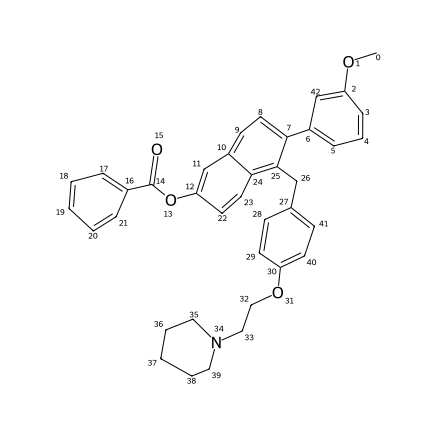 COc1cccc(-c2ccc3cc(OC(=O)c4ccccc4)ccc3c2Cc2ccc(OCCN3CCCCC3)cc2)c1